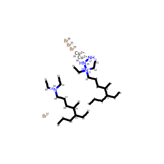 CCCC(CC)C(C)CCC[16N+](CC)(CC)NN.CCCC(CC)C(C)CCC[16N](CC)CC.[Br-].[Br-].[Br-].[Br-].[Cu+2].[Cu+2]